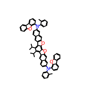 Cc1ccccc1N(c1ccc2cc3c(cc2c1)oc1c2oc4cc5cc(N(c6ccccc6C)c6cccc7c6oc6ccccc67)ccc5cc4c2c(C(C)C)c(C(C)C)c31)c1cccc2c1oc1ccccc12